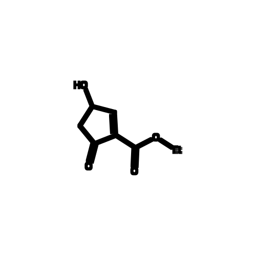 CCOC(=O)C1=CC(O)CC1=O